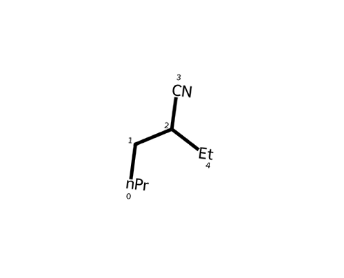 CCCCC(C#N)CC